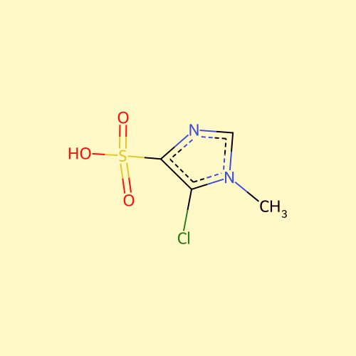 Cn1cnc(S(=O)(=O)O)c1Cl